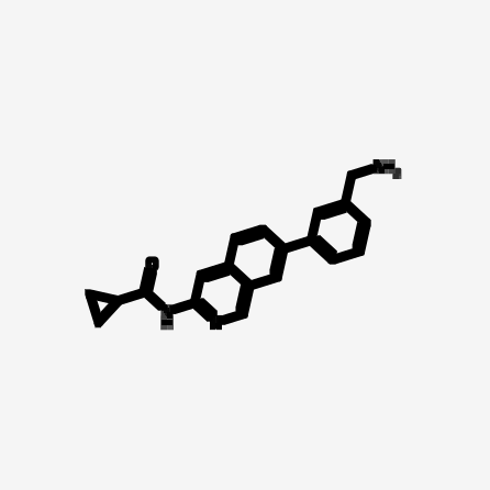 NCc1cccc(-c2ccc3cc(NC(=O)C4CC4)ncc3c2)c1